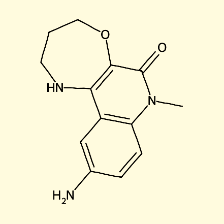 Cn1c(=O)c2c(c3cc(N)ccc31)NCCCO2